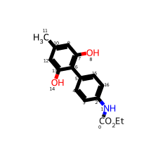 CCOC(=O)Nc1ccc(-c2c(O)cc(C)cc2O)cc1